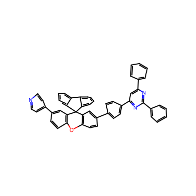 c1ccc(-c2cc(-c3ccc(-c4ccc5c(c4)C4(c6cc(-c7ccncc7)ccc6O5)c5ccccc5-c5ccccc54)cc3)nc(-c3ccccc3)n2)cc1